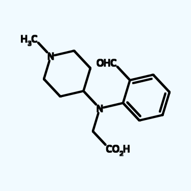 CN1CCC(N(CC(=O)O)c2ccccc2C=O)CC1